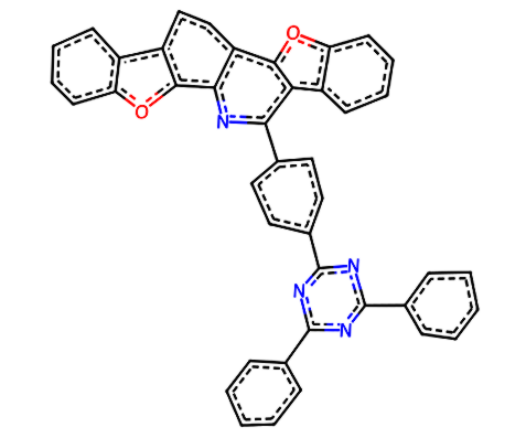 c1ccc(-c2nc(-c3ccccc3)nc(-c3ccc(-c4nc5c(ccc6c7ccccc7oc65)c5oc6ccccc6c45)cc3)n2)cc1